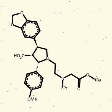 CCCN(CCN1C[C@H](c2ccc3c(c2)OCO3)[C@H](C(=O)O)[C@H]1c1ccc(OC)cc1)CC(=O)OC(C)(C)C